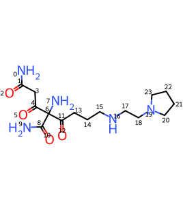 NC(=O)CC(=O)C(N)(C(N)=O)C(=O)CCCNCCN1CCCC1